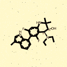 CCN(CC)[C@H]1c2c(cc(F)c(-c3cccc4c(C)c[nH]c34)c2F)NC(C)(C)[C@@H]1O